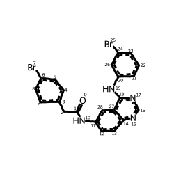 O=C(Cc1ccc(Br)cc1)Nc1ccc2ncnc(Nc3cccc(Br)c3)c2c1